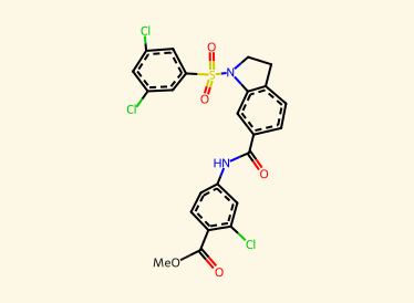 COC(=O)c1ccc(NC(=O)c2ccc3c(c2)N(S(=O)(=O)c2cc(Cl)cc(Cl)c2)CC3)cc1Cl